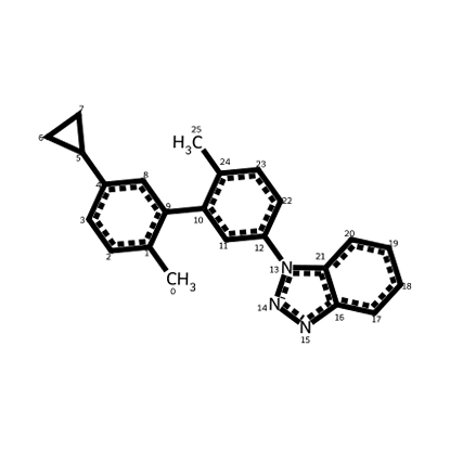 Cc1ccc(C2CC2)cc1-c1cc(-n2nnc3ccccc32)ccc1C